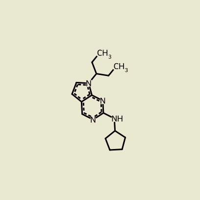 CCC(CC)n1ccc2cnc(NC3CCCC3)nc21